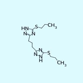 CCCSc1nc(CCCc2n[nH]c(SCCC)n2)n[nH]1